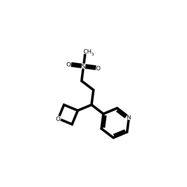 CS(=O)(=O)CCC(c1cccnc1)C1COC1